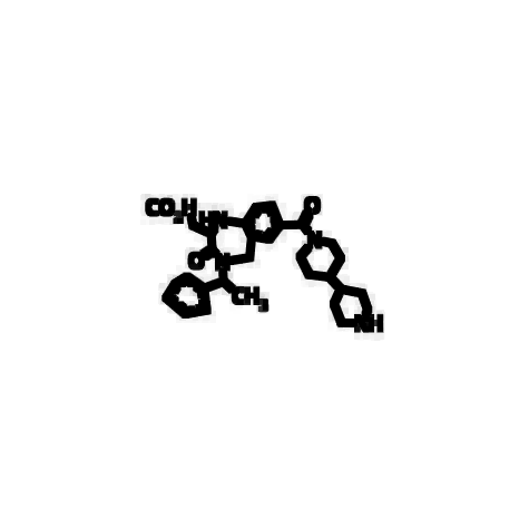 CC(c1ccccc1)N1Cc2cc(C(=O)N3CCC(C4CCNCC4)CC3)ccc2NC(CC(=O)O)C1=O